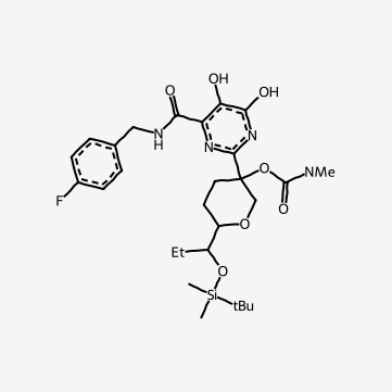 CCC(O[Si](C)(C)C(C)(C)C)C1CCC(OC(=O)NC)(c2nc(O)c(O)c(C(=O)NCc3ccc(F)cc3)n2)CO1